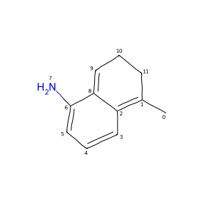 CC1=c2cccc(N)c2=CCC1